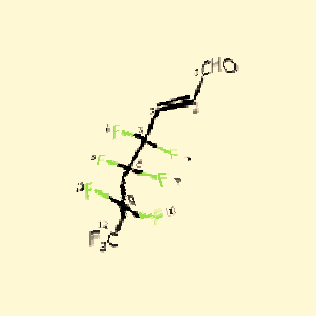 O=[C]C=CC(F)(F)C(F)(F)C(F)(F)C(F)(F)F